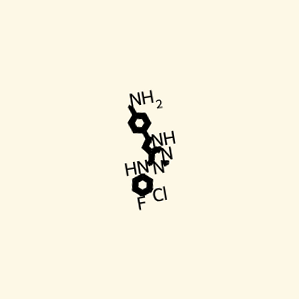 NCc1ccc(-c2cc3c(Nc4ccc(F)c(Cl)c4)ncnc3[nH]2)cc1